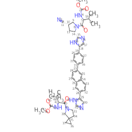 COC(=O)NC(C(=O)N1C[C@@H](C#N)C[C@H]1c1ncc(-c2ccc(-c3ccc4cc(-c5cnc([C@@H]6CC7(CC7)CN6C(=O)[C@@H](NC(=O)OC)C(C)C)[nH]5)ccc4c3)cc2)[nH]1)C(C)C